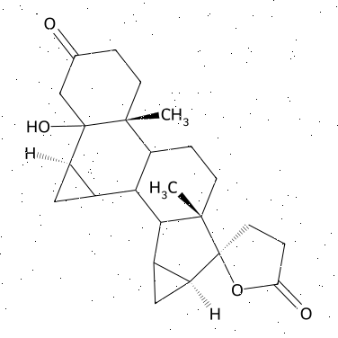 C[C@]12CCC3C(C4C[C@H]4C4(O)CC(=O)CC[C@]34C)C1C1C[C@@H]1[C@@]21CCC(=O)O1